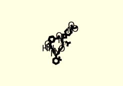 COC(=O)N1CCC2(CC1)CC(N1C(=O)c3cccc(c3)S(=O)(=O)Nc3nc(cc(C4CCCCC4(C)C)n3)OC[C@H]1CC(C)C)C2